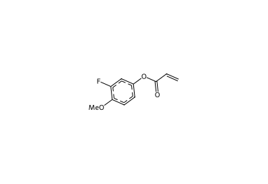 C=CC(=O)Oc1ccc(OC)c(F)c1